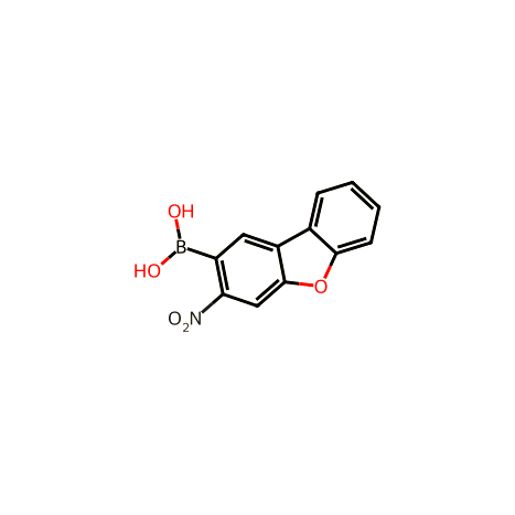 O=[N+]([O-])c1cc2oc3ccccc3c2cc1B(O)O